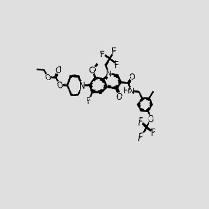 CCOC(=O)OC1CCN(c2c(F)cc3c(=O)c(C(=O)NCc4ccc(OC(F)(F)F)cc4C)cn(CC(F)(F)F)c3c2OC)CC1